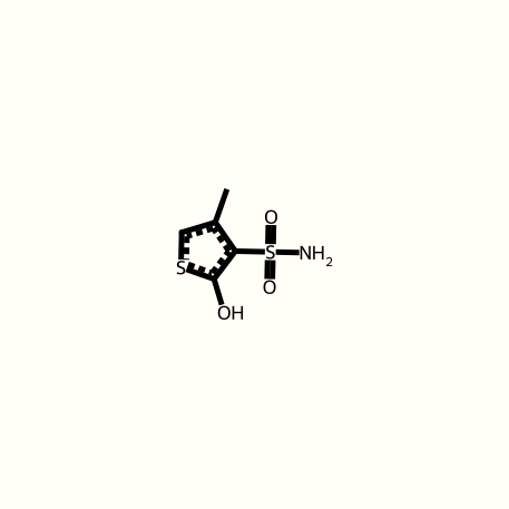 Cc1csc(O)c1S(N)(=O)=O